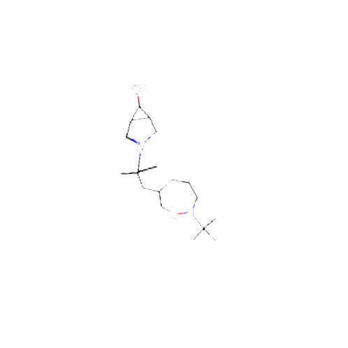 CC(C)(C)N1CCCC(CC(C)(C)N2CC3C(O)C3C2)CO1